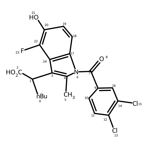 CCCCC(C(=O)O)c1c(C)n(C(=O)c2ccc(Cl)c(Cl)c2)c2ccc(O)c(F)c12